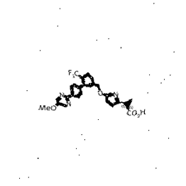 COc1cnc(-c2ccc(-c3cc(COc4ccc([C@H]5C[C@@H]5C(=O)O)nc4)ccc3C(F)(F)F)cc2)nc1